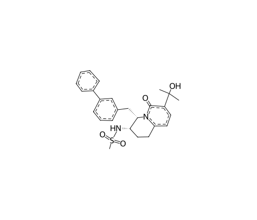 CC(C)(O)c1ccc2n(c1=O)[C@@H](Cc1cccc(-c3ccccc3)c1)[C@@H](NS(C)(=O)=O)CC2